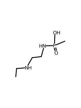 CCNCCNP(C)(=O)O